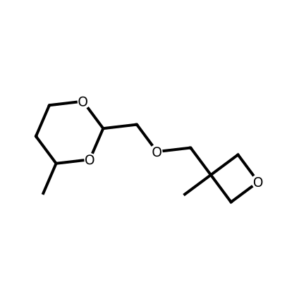 CC1CCOC(COCC2(C)COC2)O1